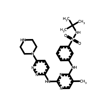 Cc1cnc(Nc2ccc(N3CCNCC3)nn2)nc1Nc1cccc(S(=O)(=O)NC(C)(C)C)c1